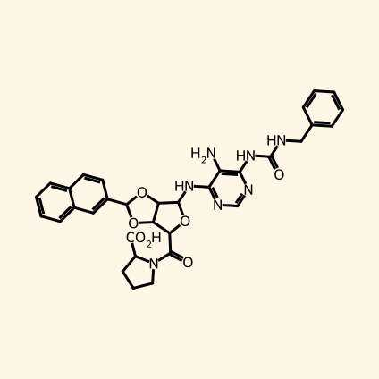 Nc1c(NC(=O)NCc2ccccc2)ncnc1NC1OC(C(=O)N2CCCC2C(=O)O)C2OC(c3ccc4ccccc4c3)OC12